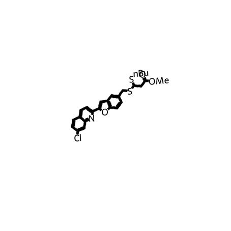 CCCCSC(CC(=O)OC)SCc1ccc2oc(-c3ccc4ccc(Cl)cc4n3)cc2c1